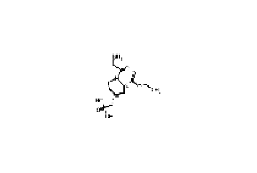 CCOC(=O)[C@@H]1C[C@H](CP(=O)(O)O)CCN1C(=O)CN